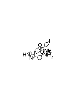 CC(C)NC[C@@H](C(=O)N1CCN(c2c(-c3cccc(C(N)=O)c3)cnc3[nH]ccc23)CC1)c1ccc(I)cc1